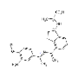 C=C(/N=C(\C)c1ccc(OC(C)C)c(N)c1)c1cccc2c1CC[C@@H]2N[C@H](C)C(=O)O